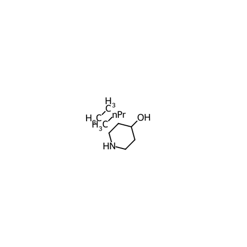 CC.CCCC.OC1CCNCC1